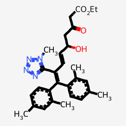 CCOC(=O)CC(=O)CC(O)/C=C/C(=C(c1ccc(C)cc1C)c1ccc(C)cc1C)c1nnnn1C